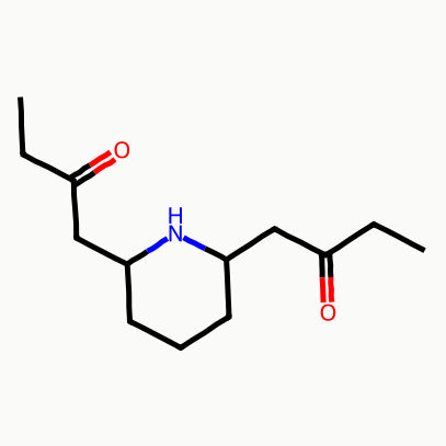 CCC(=O)CC1CCCC(CC(=O)CC)N1